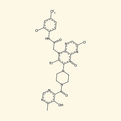 CCc1c(N2CCN(C(=O)c3ncnc(C)c3O)CC2)c(=O)c2nc(Cl)cnc2n1CC(=O)Nc1ccc(C(F)(F)F)cc1Cl